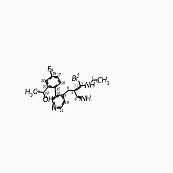 CCN/C(Br)=C(\C=N)Cc1ccncc1-c1ccc(F)cc1C(C)O